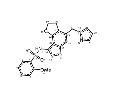 COc1ccccc1S(=O)(=O)Nc1noc2cc(Cn3cccn3)c3c(c12)OCC3